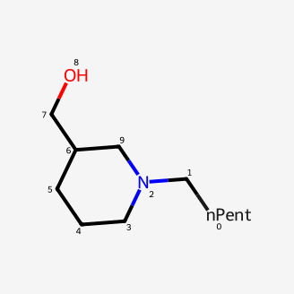 CCCCCCN1CCCC(CO)C1